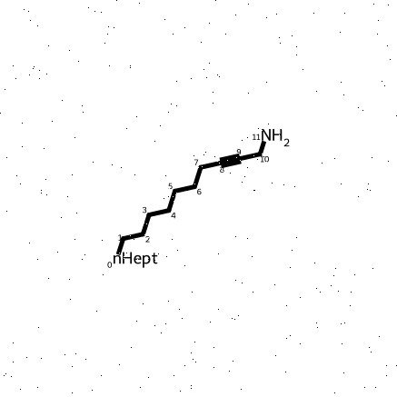 CCCCCCCCCCCCCCC#CCN